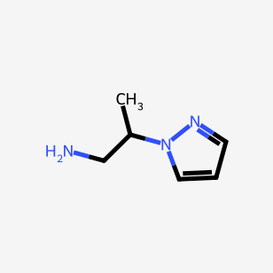 CC(CN)n1cccn1